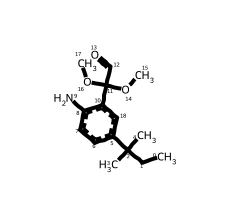 CCC(C)(C)c1ccc(N)c(C(C=O)(OC)OC)c1